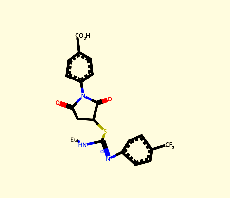 CCN/C(=N/c1ccc(C(F)(F)F)cc1)SC1CC(=O)N(c2ccc(C(=O)O)cc2)C1=O